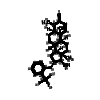 CN1C(=O)C=C[C@]2(C)[C@H]3CC[C@]4(C)[C@@H](O)[C@H](Cc5ccccc5C(F)(F)F)C[C@H]4[C@@H]3CC[C@@H]12